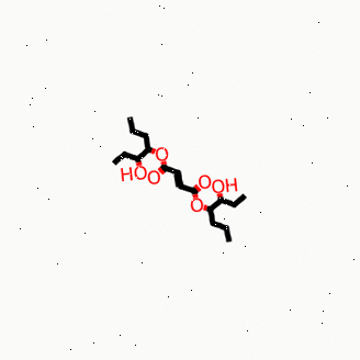 CCCC(OC(=O)/C=C/C(=O)OC(CCC)C(O)CC)C(O)CC